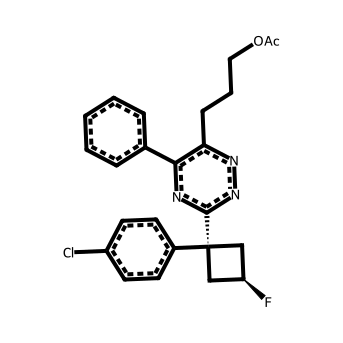 CC(=O)OCCCc1nnc([C@]2(c3ccc(Cl)cc3)C[C@@H](F)C2)nc1-c1ccccc1